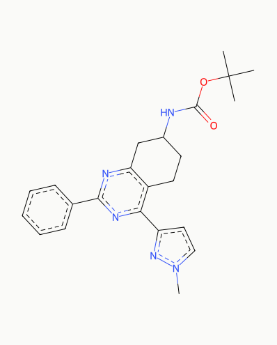 Cn1ccc(-c2nc(-c3ccccc3)nc3c2CCC(NC(=O)OC(C)(C)C)C3)n1